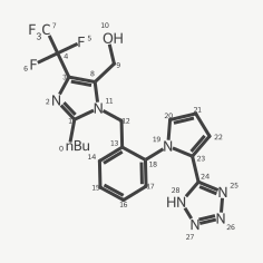 CCCCc1nc(C(F)(F)C(F)(F)F)c(CO)n1Cc1ccccc1-n1cccc1-c1nnn[nH]1